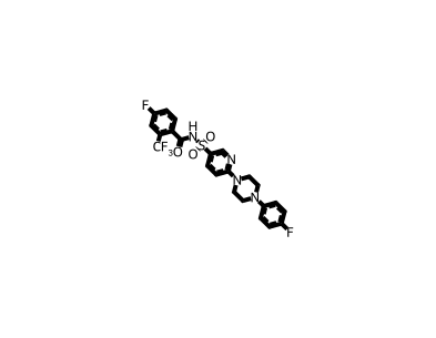 O=C(NS(=O)(=O)c1ccc(N2CCN(c3ccc(F)cc3)CC2)nc1)c1ccc(F)cc1C(F)(F)F